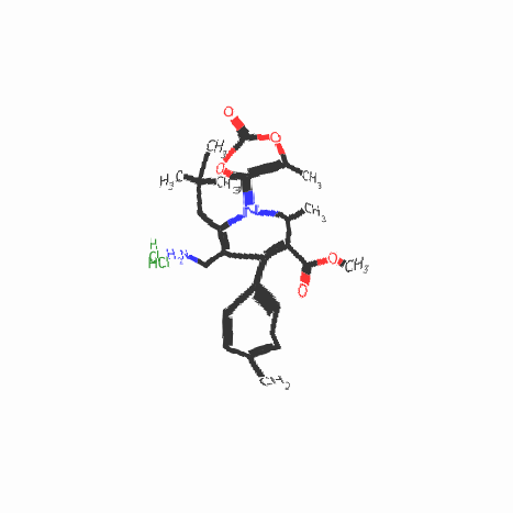 COC(=O)C1=C(c2ccc(C)cc2)C(CN)=C(CC(C)(C)C)N(c2oc(=O)oc2C)C1C.Cl.Cl